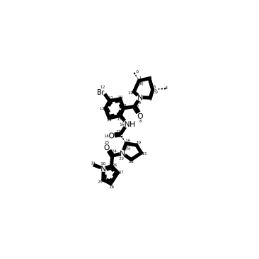 C[C@@H]1C[C@H](C)CN(C(=O)c2cc(Br)ccc2NC(=O)[C@@H]2CCCN2C(=O)c2cccn2C)C1